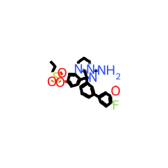 CCCS(=O)(=O)Oc1ccc(C2(c3cccc(-c4ccc(F)c(OC)c4)c3)N=C(N)N3CCCN=C32)cc1